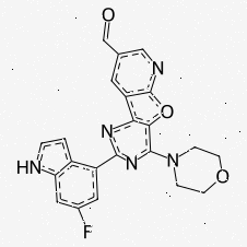 O=Cc1cnc2oc3c(N4CCOCC4)nc(-c4cc(F)cc5[nH]ccc45)nc3c2c1